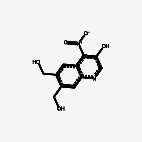 O=[N+]([O-])c1c(O)cnc2cc(CO)c(CO)cc12